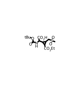 CCOC(=O)C1C(CS(C)(=O)=O)C1C(NC(=O)OC(C)(C)C)C(=O)O